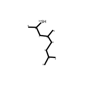 CC(C)CCC(C)CC(C)S